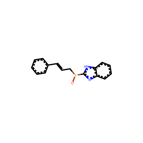 [O-][S+](CC=Cc1ccccc1)c1nc2ccccc2[nH]1